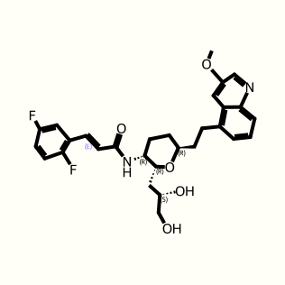 COc1cnc2cccc(CC[C@@H]3CC[C@@H](NC(=O)/C=C/c4cc(F)ccc4F)[C@@H](C[C@H](O)CO)O3)c2c1